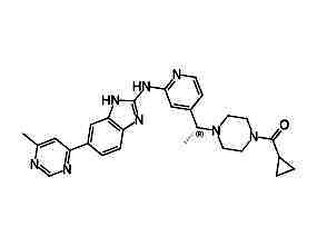 Cc1cc(-c2ccc3nc(Nc4cc([C@@H](C)N5CCN(C(=O)C6CC6)CC5)ccn4)[nH]c3c2)ncn1